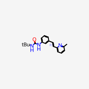 Cc1cccc(/C=C/c2cccc(NC(=O)NC(C)(C)C)c2)n1